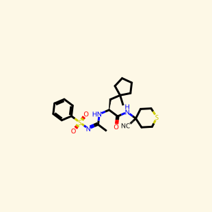 CC(=NS(=O)(=O)c1ccccc1)N[C@@H](CC1(C)CCCC1)C(=O)NC1(C#N)CCSCC1